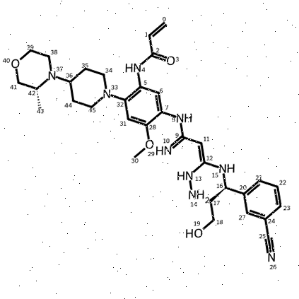 C=CC(=O)Nc1cc(NC(=N)/C=C(\NN)N[C@H](CCO)c2cccc(C#N)c2)c(OC)cc1N1CCC(N2CCOC[C@H]2C)CC1